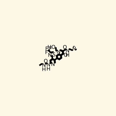 CCNC(=O)Nc1cc(-c2nc(C(F)(F)F)cs2)c(-c2ccc3c(=O)c(C(=O)NCCN(C)C)cn(CCO)c3c2)cn1